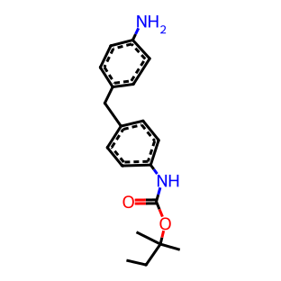 CCC(C)(C)OC(=O)Nc1ccc(Cc2ccc(N)cc2)cc1